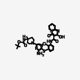 CC1(NC(=O)OC(C)(C)C)CCN(c2cnc(Sc3cccc(NC(=O)c4c(O)nc5ccccn5c4=O)c3Cl)c(N)n2)CC1